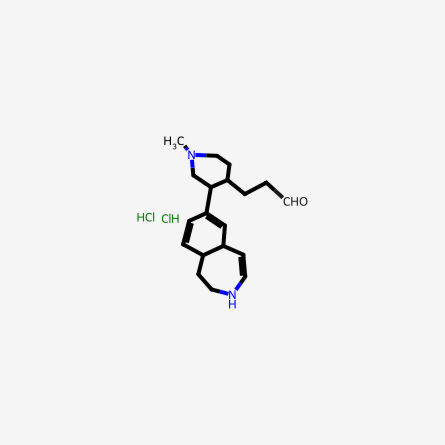 CN1CCC(CCC=O)C(C2=CC3C=CNCCC3C=C2)C1.Cl.Cl